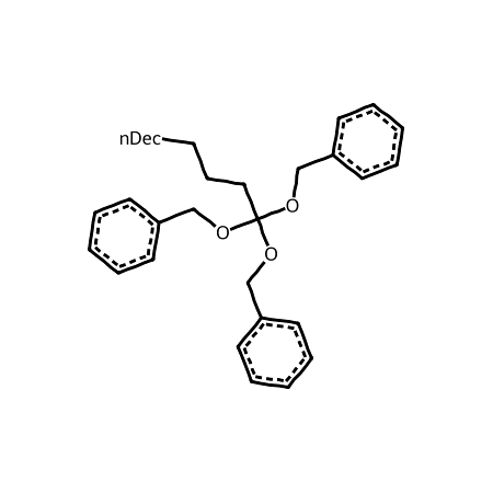 CCCCCCCCCCCCCC(OCc1ccccc1)(OCc1ccccc1)OCc1ccccc1